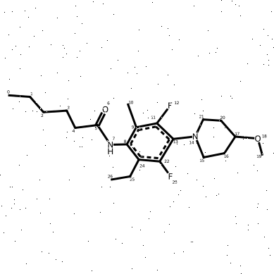 CCCCCC(=O)Nc1c(C)c(F)c(N2CCC(OC)CC2)c(F)c1CC